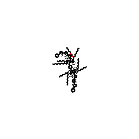 CCCCCCCCC(CCCCCC)CN1C(=O)C2=C(c3ccc(-c4ccc(-c5ccc(-c6ccccc6)s5)s4)o3)N(CC(CCCCCC)CCCCCCCC)C(=O)C2=C1c1ccc(C2=C3C(=O)N(CC(CCCCCCC)CCCCCCCC)C(c4ccc(-c5ccc(-c6ccc(-c7ccccc7)s6)s5)o4)=C3C(=O)N2CC(CCCCCC)CCCCCCCC)cc1